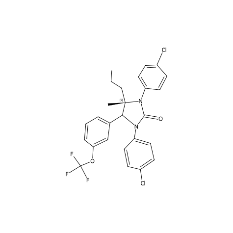 CCC[C@@]1(C)C(c2cccc(OC(F)(F)F)c2)N(c2ccc(Cl)cc2)C(=O)N1c1ccc(Cl)cc1